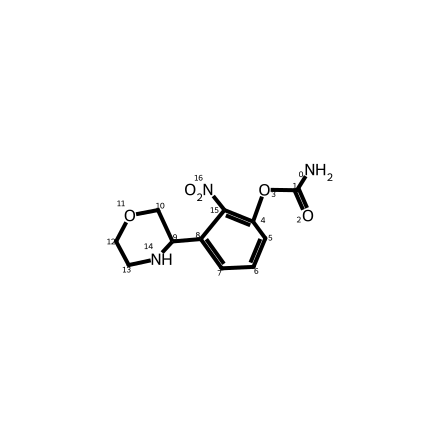 NC(=O)Oc1cccc(C2COCCN2)c1[N+](=O)[O-]